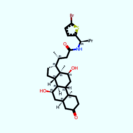 CC(C)[C@@H](NC(=O)C[C@@H](C)[C@H]1CC[C@H]2[C@@H]3[C@H](O)C[C@@H]4CC(=O)CC[C@]4(C)[C@H]3C[C@H](O)[C@]12C)c1ccc(Br)s1